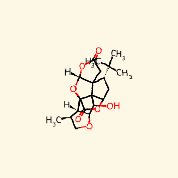 C[C@@H]1COC2[C@H]1C13O[C@@H]4OC(=O)CC45[C@H](C(C)(C)C)CC(OC1=O)C35[C@H]2O